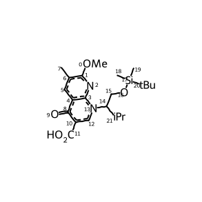 COc1nc2c(cc1C)c(=O)c(C(=O)O)cn2C(CO[Si](C)(C)C(C)(C)C)C(C)C